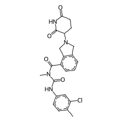 Cc1ccc(NC(=O)N(C)C(=O)c2cccc3c2CN(C2CCC(=O)NC2=O)C3)cc1Cl